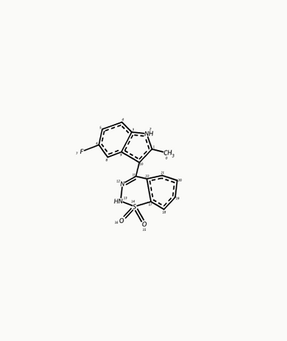 Cc1[nH]c2ccc(F)cc2c1C1=NNS(=O)(=O)c2ccccc21